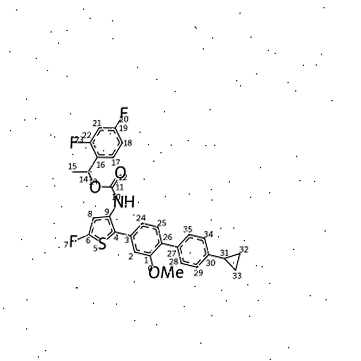 COc1cc(-c2sc(F)cc2NC(=O)OC(C)c2ccc(F)cc2F)ccc1-c1ccc(C2CC2)cc1